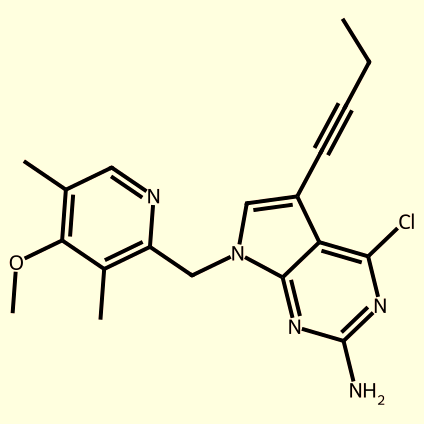 CCC#Cc1cn(Cc2ncc(C)c(OC)c2C)c2nc(N)nc(Cl)c12